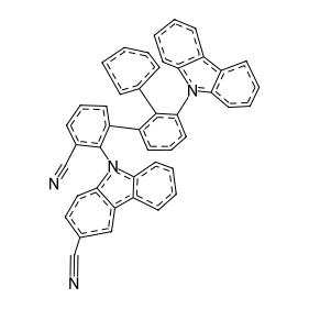 N#Cc1ccc2c(c1)c1ccccc1n2-c1c(C#N)cccc1-c1cccc(-n2c3ccccc3c3ccccc32)c1-c1ccccc1